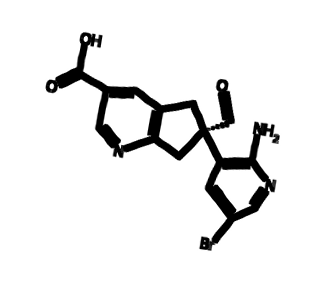 Nc1ncc(Br)cc1[C@]1(C=O)Cc2cc(C(=O)O)cnc2C1